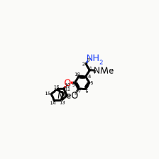 CNC(CN)c1ccc(OC)c(OC2CC3CCC2C3)c1